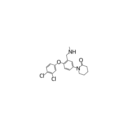 CNCc1cc(N2CCCCC2=O)ccc1Oc1ccc(Cl)c(Cl)c1